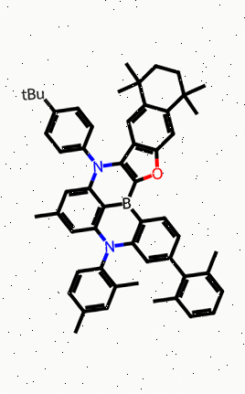 Cc1ccc(N2c3cc(-c4c(C)cccc4C)ccc3B3c4oc5cc6c(cc5c4N(c4ccc(C(C)(C)C)cc4)c4cc(C)cc2c43)C(C)(C)CCC6(C)C)c(C)c1